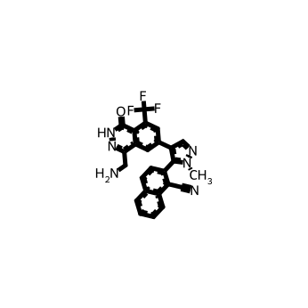 Cn1ncc(-c2cc(C(F)(F)F)c3c(=O)[nH]nc(CN)c3c2)c1-c1ccc2ccccc2c1C#N